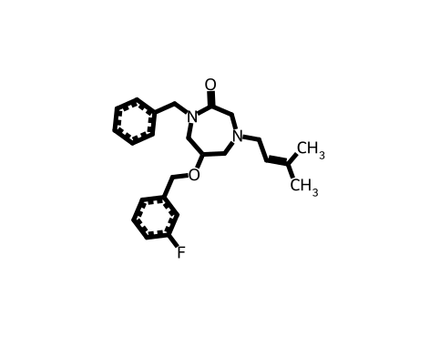 CC(C)=CCN1CC(=O)N(Cc2ccccc2)CC(OCc2cccc(F)c2)C1